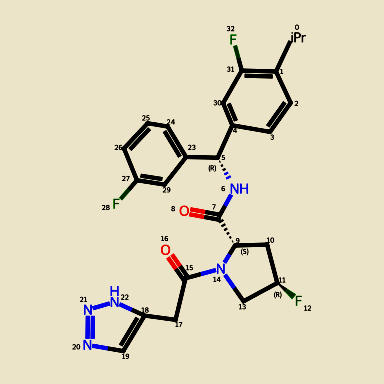 CC(C)c1ccc([C@H](NC(=O)[C@@H]2C[C@@H](F)CN2C(=O)Cc2cnn[nH]2)c2cccc(F)c2)cc1F